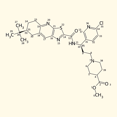 COC(=O)C1CCN(CC[C@@H](NC(=O)c2nc3cc4c(nc3s2)CC[C@H](C(C)(C)C)C4)c2ccc(Cl)nc2)CC1